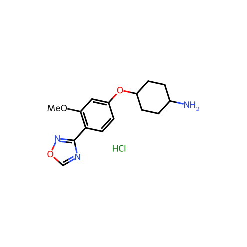 COc1cc(OC2CCC(N)CC2)ccc1-c1ncon1.Cl